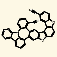 N#Cc1ccc2oc3ccc4oc5cc6c(cc5c4c3c2c1)-c1c(C#N)cccc1-n1c2ccccc2c2cccc-6c21